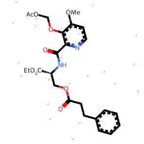 CCOC(=O)[C@H](COC(=O)CCc1ccccc1)NC(=O)c1nccc(OC)c1OCOC(C)=O